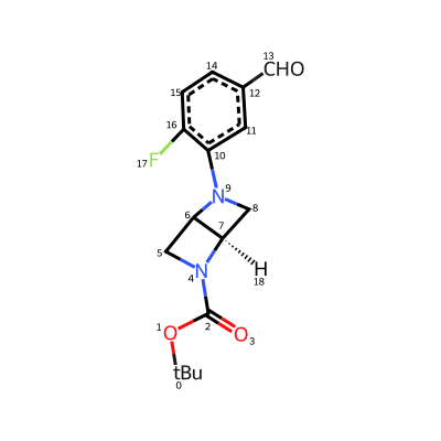 CC(C)(C)OC(=O)N1CC2[C@H]1CN2c1cc(C=O)ccc1F